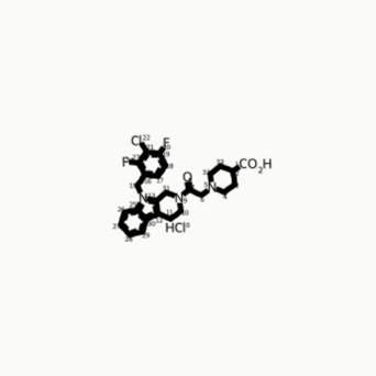 Cl.O=C(O)C1CCN(CC(=O)N2CCc3c(n(Cc4ccc(F)c(Cl)c4F)c4ccccc34)C2)CC1